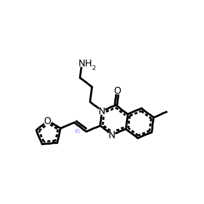 Cc1ccc2nc(/C=C/c3ccco3)n(CCCN)c(=O)c2c1